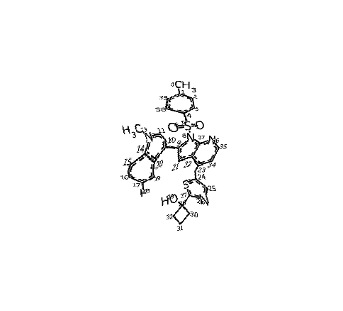 Cc1ccc(S(=O)(=O)n2c(-c3cn(C)c4ccc(F)cc34)cc3c(-c4cnc(C5(O)CCC5)s4)ccnc32)cc1